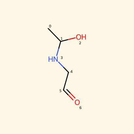 CC(O)NCC=O